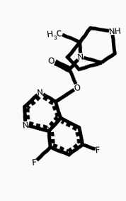 CC12CCC(CNC1)N2C(=O)Oc1ncnc2c(F)cc(F)cc12